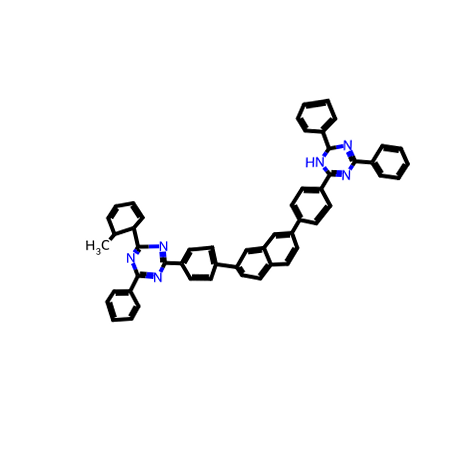 CC1C=CC=CC1c1nc(-c2ccccc2)nc(-c2ccc(-c3ccc4ccc(-c5ccc(C6=NC(c7ccccc7)=NC(c7ccccc7)N6)cc5)cc4c3)cc2)n1